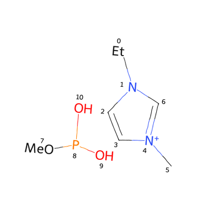 CCn1cc[n+](C)c1.COP(O)O